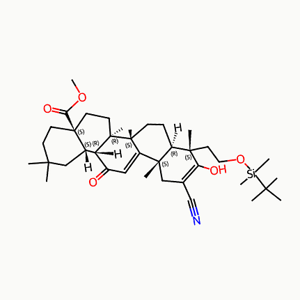 COC(=O)[C@]12CCC(C)(C)C[C@H]1[C@H]1C(=O)C=C3[C@@]4(C)CC(C#N)=C(O)[C@@](C)(CCO[Si](C)(C)C(C)(C)C)[C@@H]4CC[C@@]3(C)[C@]1(C)CC2